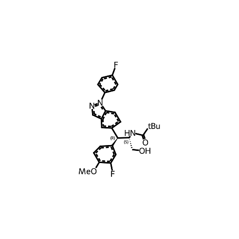 COc1ccc([C@@H](c2ccc3c(cnn3-c3ccc(F)cc3)c2)[C@@H](CO)NC(=O)C(C)(C)C)cc1F